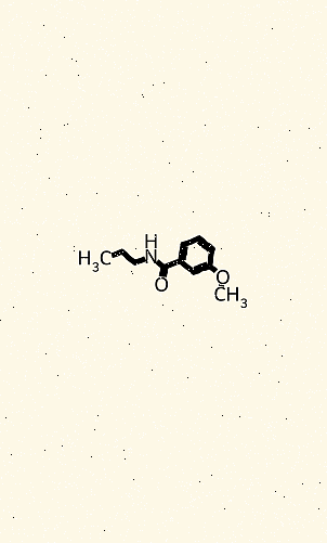 CCCNC(=O)c1cccc(OC)c1